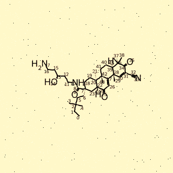 CCC(C)(C)CC[C@]1(C(=O)NCCC(O)CCN)CC[C@]2(C)[C@@H](C1)C(=O)C=C1[C@@]3(C)C=C(C#N)C(=O)C(C)(C)[C@@H]3CC[C@]12C